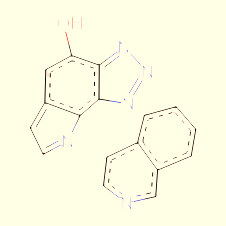 Oc1cc2c(c3c1=NN=N3)N=CC=2.c1ccc2cnccc2c1